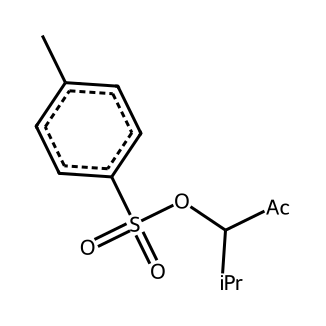 CC(=O)C(OS(=O)(=O)c1ccc(C)cc1)C(C)C